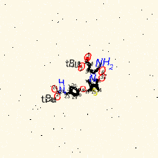 CC(C)(C)OC(=O)CCC(C(N)=O)N1Cc2c(csc2COc2ccc(CNC(=O)OC(C)(C)C)cc2)C1=O